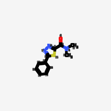 CN(C)C(=O)c1nnc(-c2ccccc2)s1